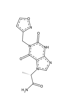 C[C@@H](C(N)=O)n1cnc2[nH]c(=O)n(Cc3ccon3)c(=O)c21